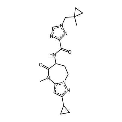 CN1C(=O)C(NC(=O)c2ncn(CC3(C)CC3)n2)CCn2nc(C3CC3)cc21